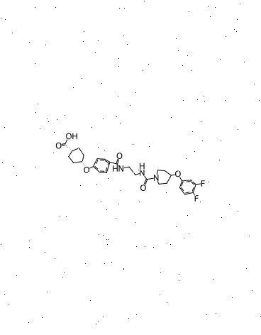 O=C(NCCNC(=O)N1CCC(Oc2ccc(F)c(F)c2)CC1)c1ccc(O[C@H]2CC[C@@H](C(=O)O)CC2)cc1